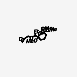 CCC(OCC1CO1)C1(OC)CCC[Si](OC)(OC)O1